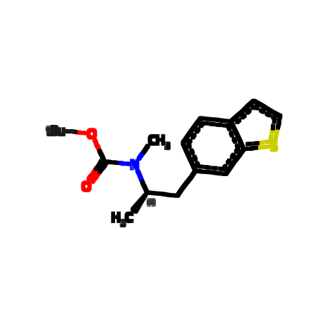 C[C@H](Cc1ccc2ccsc2c1)N(C)C(=O)OC(C)(C)C